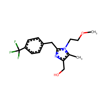 COCCn1c(Cc2ccc(C(F)(F)F)cc2)nc(CO)c1C